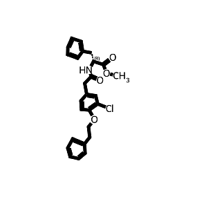 COC(=O)[C@@H](Cc1ccccc1)NC(=O)Cc1ccc(OCCc2ccccc2)c(Cl)c1